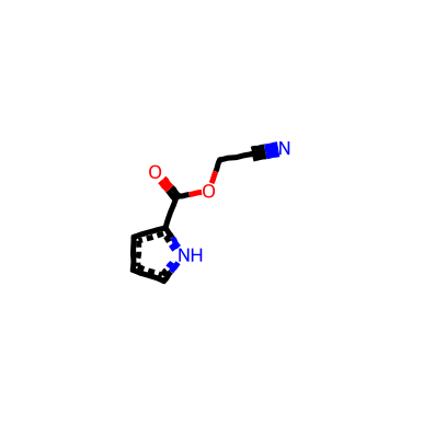 N#CCOC(=O)c1ccc[nH]1